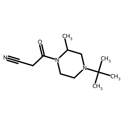 CC1CN(C(C)(C)C)CCN1C(=O)CC#N